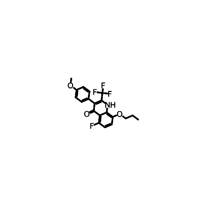 CCCOc1ccc(F)c2c(=O)c(-c3ccc(OC)cc3)c(C(F)(F)F)[nH]c12